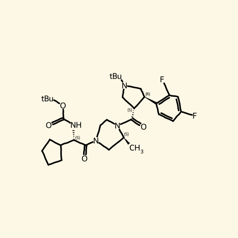 C[C@H]1CN(C(=O)[C@@H](NC(=O)OC(C)(C)C)C2CCCC2)CCN1C(=O)[C@@H]1CN(C(C)(C)C)C[C@H]1c1ccc(F)cc1F